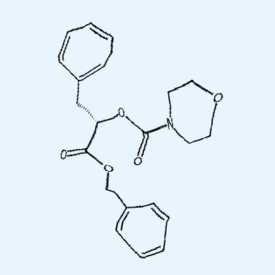 O=C(OCc1ccccc1)[C@H](Cc1ccccc1)OC(=O)N1CCOCC1